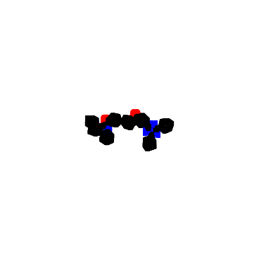 c1ccc(-c2nc(-c3ccccc3)nc(-c3ccc4oc5cc(-c6ccc7oc(-c8c(-c9ccccc9)ccc9ccccc89)nc7c6)ccc5c4c3)n2)cc1